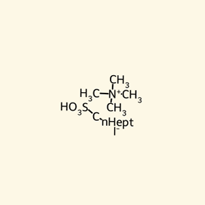 CCCCCCCCS(=O)(=O)O.C[N+](C)(C)C.[I-]